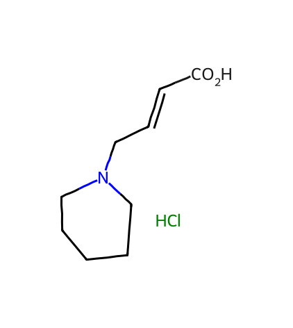 Cl.O=C(O)C=CCN1CCCCC1